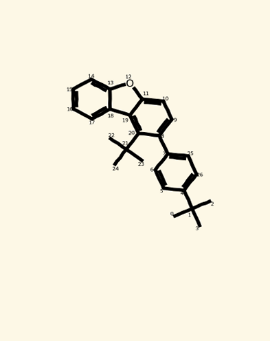 CC(C)(C)c1ccc(-c2ccc3oc4ccccc4c3c2C(C)(C)C)cc1